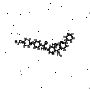 Cc1ncc(NC(=O)c2ccc(N3CCN(C)CC3)cc2)cc1Nc1nccc(-c2cccnc2)n1